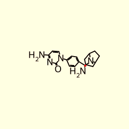 Nc1ccn(-c2ccc(CN3C4CCC3CC(N)C4)cc2)c(=O)n1